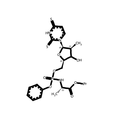 CC(C)OC(=O)[C@H](C)NP(=O)(OC[C@H]1O[C@@H](n2ccc(=S)[nH]c2=S)[C@@H](C)C1O)Oc1ccccc1